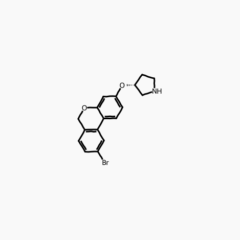 Brc1ccc2c(c1)-c1ccc(O[C@@H]3CCNC3)cc1OC2